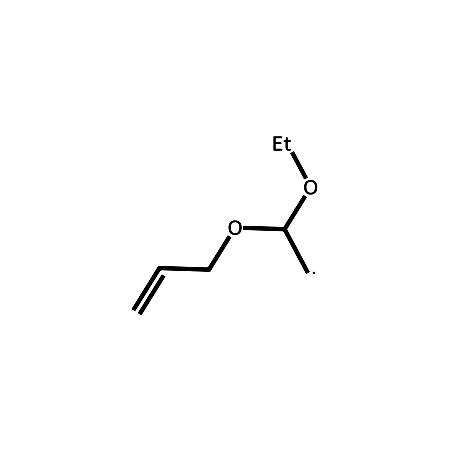 [CH2]C(OCC)OCC=C